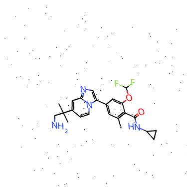 Cc1cc(-c2cnc3cc(C(C)(C)CN)ccn23)cc(OC(F)F)c1C(=O)NC1CC1